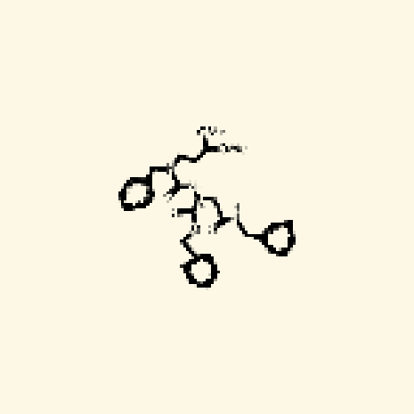 COC(CCN(Cc1ccccc1)C(=S)N[C@@H](CC(=O)NCc1ccccc1)C(=O)OCc1ccccc1)OC